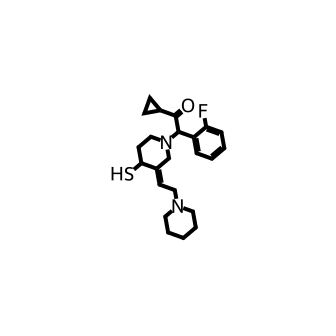 O=C(C1CC1)C(c1ccccc1F)N1CCC(S)/C(=C/CN2CCCCC2)C1